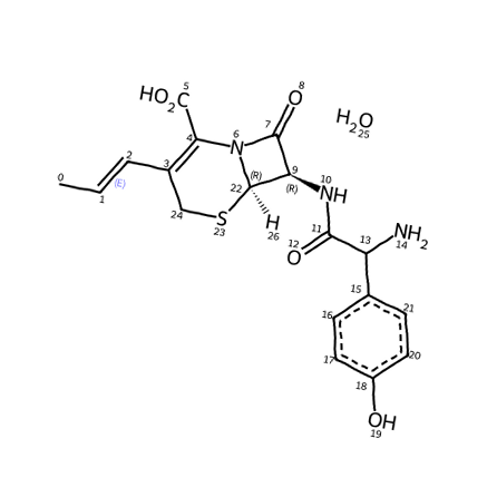 C/C=C/C1=C(C(=O)O)N2C(=O)[C@@H](NC(=O)C(N)c3ccc(O)cc3)[C@H]2SC1.O